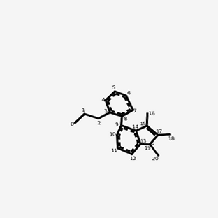 CCCc1ccccc1-c1cccc2c1C(C)=C(C)[C]2C